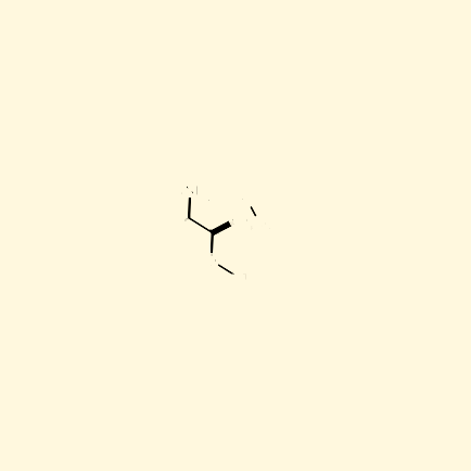 CC(C)OC(=O)CN.O=S(=O)(O)O